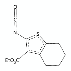 CCOC(=O)c1c(N=C=O)sc2c1CCCC2